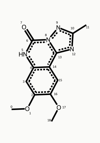 COc1cc2[nH]c(=O)n3nc(C)nc3c2cc1OC